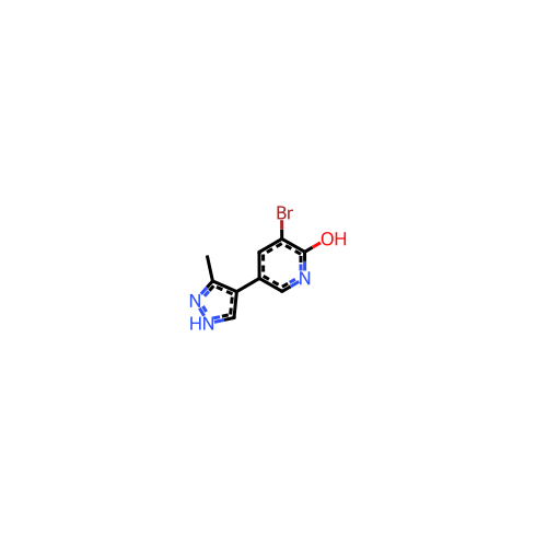 Cc1n[nH]cc1-c1cnc(O)c(Br)c1